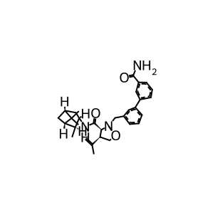 C=C(C)[C@@H]1CON(Cc2cccc(-c3cccc(C(N)=O)c3)c2)[C@@H]1C(=O)N[C@H]1C[C@H]2C[C@@H]([C@@H]1C)C2(C)C